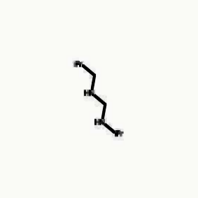 CC(C)CNCNC(C)C